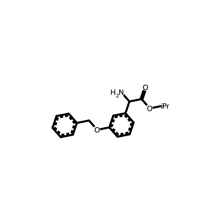 CC(C)OC(=O)C(N)c1cccc(OCc2ccccc2)c1